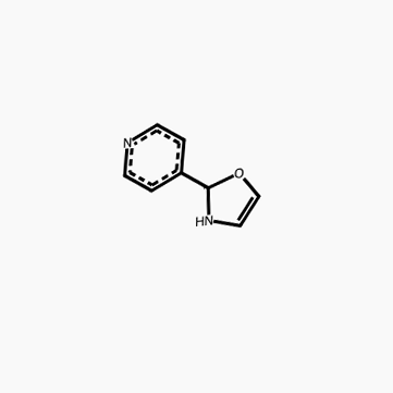 C1=CO[C](c2ccncc2)N1